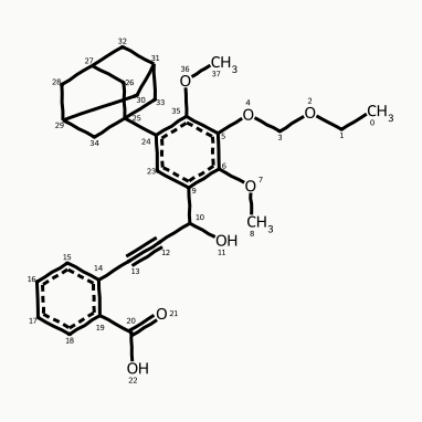 CCOCOc1c(OC)c(C(O)C#Cc2ccccc2C(=O)O)cc(C23CC4CC(CC(C4)C2)C3)c1OC